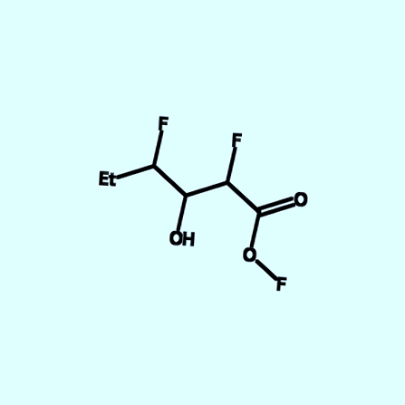 CCC(F)C(O)C(F)C(=O)OF